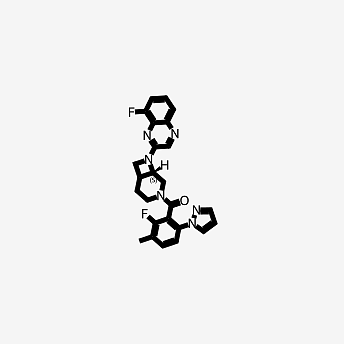 Cc1ccc(-n2cccn2)c(C(=O)N2CCC3CN(c4cnc5cccc(F)c5n4)[C@@H]3C2)c1F